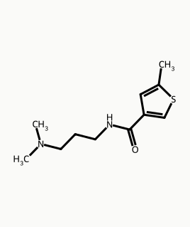 Cc1cc(C(=O)NCCCN(C)C)cs1